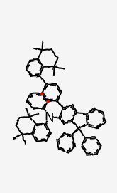 CC1(C)CCC(C)(C)c2c(-c3ccc(-c4cc5c(cc4N(c4ccccc4)c4cccc6c4C(C)(C)CCC6(C)C)C(c4ccccc4)(c4ccccc4)c4ccccc4-5)cc3)cccc21